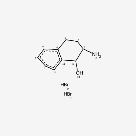 Br.Br.NC1CCc2ccccc2C1O